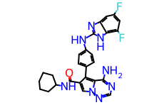 Nc1ncnn2cc(C(=O)NC3CCCCC3)c(-c3ccc(Nc4nc5cc(F)cc(F)c5[nH]4)cc3)c12